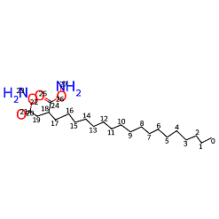 CCCCCCCCCCCCCCCCCCC(CC(=O)ON)C(=O)ON